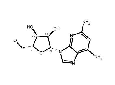 Nc1nc(N)c2ncn([C@@H]3O[C@H](C[O])[C@@H](O)[C@H]3O)c2n1